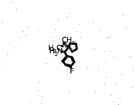 CN(C)C1(C(N)c2ccc(F)cc2)CCCC1